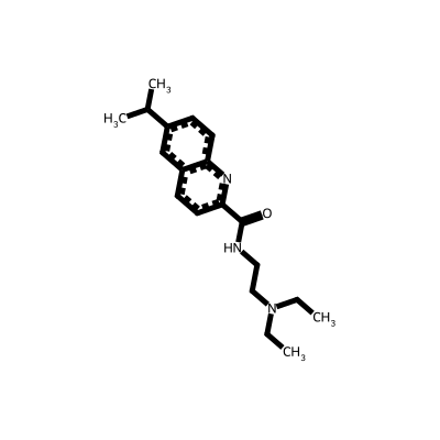 CCN(CC)CCNC(=O)c1ccc2cc(C(C)C)ccc2n1